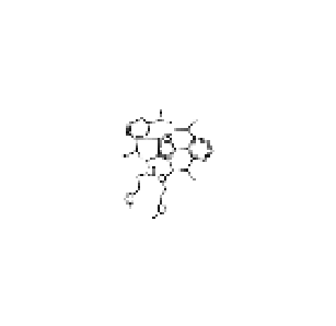 COCCOCc1c(-c2c(C(C)C)cccc2C(C)C)sc(-c2c(C(C)C)cccc2C(C)C)c1COCCOC